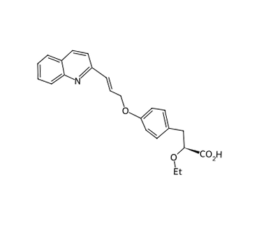 CCO[C@@H](Cc1ccc(OCC=Cc2ccc3ccccc3n2)cc1)C(=O)O